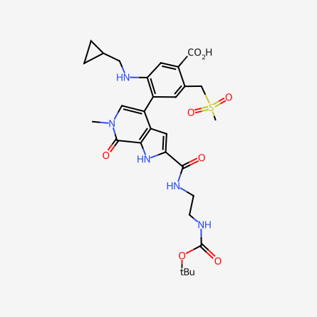 Cn1cc(-c2cc(CS(C)(=O)=O)c(C(=O)O)cc2NCC2CC2)c2cc(C(=O)NCCNC(=O)OC(C)(C)C)[nH]c2c1=O